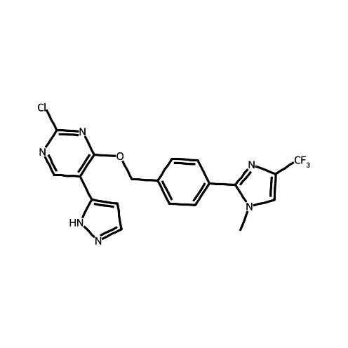 Cn1cc(C(F)(F)F)nc1-c1ccc(COc2nc(Cl)ncc2-c2ccn[nH]2)cc1